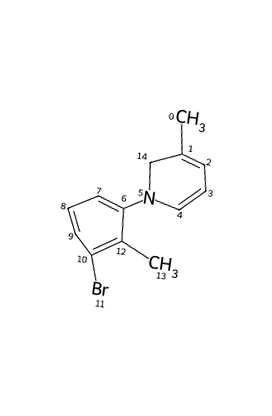 CC1=CC=CN(c2cccc(Br)c2C)C1